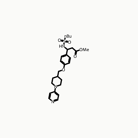 CCCCS(=O)(=O)NC(CC(=O)OC)c1ccc(OCC2CCN(c3ccncc3)CC2)cc1